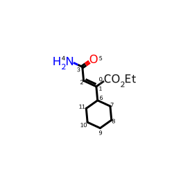 CCOC(=O)C(=CC(N)=O)C1CCCCC1